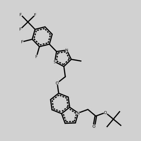 Cc1nc(-c2ccc(C(F)(F)F)c(F)c2F)sc1COc1ccc2ccn(CC(=O)OC(C)(C)C)c2c1